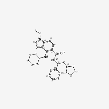 CCn1ncc2c(NC3CCCCC3)c(C(=O)NC(CN3CCCC3)c3ccccc3)cnc21